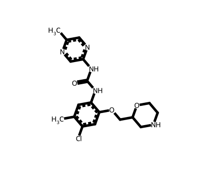 Cc1cnc(NC(=O)Nc2cc(C)c(Cl)cc2OCC2CNCCO2)cn1